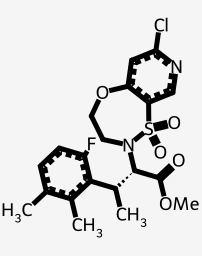 COC(=O)[C@H](C(C)c1c(F)ccc(C)c1C)N1CCOc2cc(Cl)ncc2S1(=O)=O